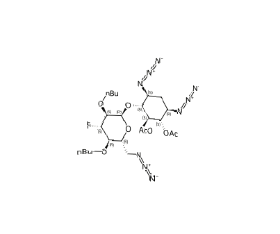 CCCCO[C@H]1[C@@H](O[C@H]2[C@H](OC(C)=O)[C@@H](OC(C)=O)[C@H](N=[N+]=[N-])C[C@@H]2N=[N+]=[N-])O[C@H](CN=[N+]=[N-])[C@@H](OCCCC)[C@@H]1F